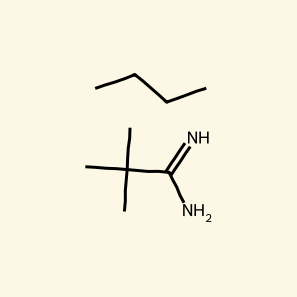 CC(C)(C)C(=N)N.CCCC